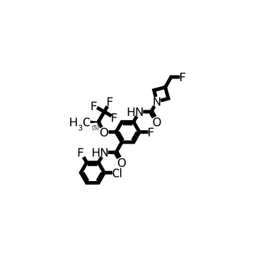 C[C@H](Oc1cc(NC(=O)N2CC(CF)C2)c(F)cc1C(=O)Nc1c(F)cccc1Cl)C(F)(F)F